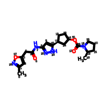 Cc1cc(CC(=O)Nc2cc([C@H]3CC[C@@H](OC(=O)N4CCC[C@H]4C)C3)[nH]n2)on1